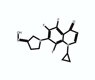 O=c1ccn(C2CC2)c2c(F)c(N3CCC(=NO)C3)c(F)c(F)c12